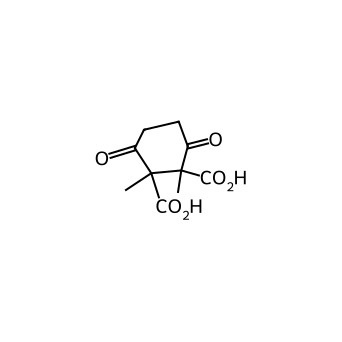 CC1(C(=O)O)C(=O)CCC(=O)C1(C)C(=O)O